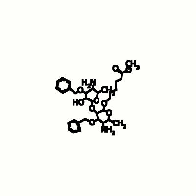 COC(=O)CCCCCOC1OC(C)C(N)C(OCc2ccccc2)C1OC1OC(C)C(N)C(OCc2ccccc2)C1O